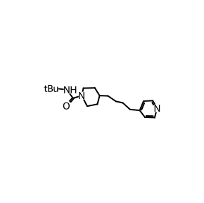 CC(C)(C)NC(=O)N1CCC(CCCCc2ccncc2)CC1